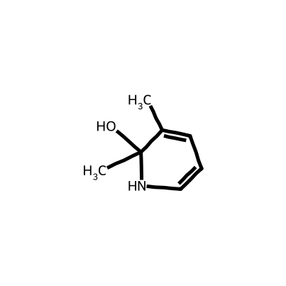 CC1=CC=CNC1(C)O